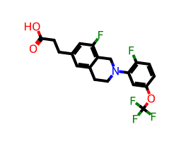 O=C(O)CCc1cc(F)c2c(c1)CCN(c1cc(OC(F)(F)F)ccc1F)C2